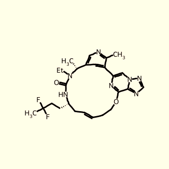 CCN1C(=O)N[C@@H](CCC(C)(F)F)C/C=C/CCOc2nc(cn3ncnc23)-c2cc(cnc2C)[C@H]1C